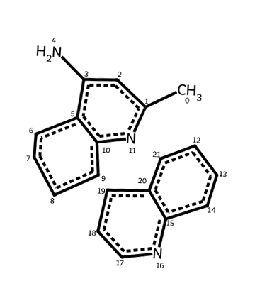 Cc1cc(N)c2ccccc2n1.c1ccc2ncccc2c1